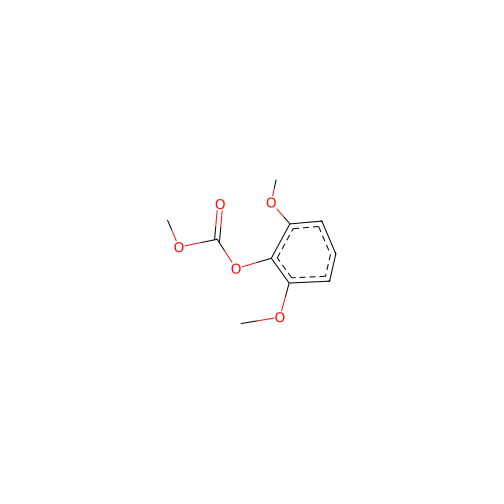 COC(=O)Oc1c(OC)cccc1OC